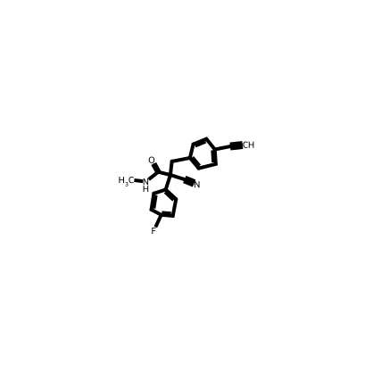 C#Cc1ccc(CC(C#N)(C(=O)NC)c2ccc(F)cc2)cc1